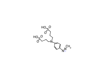 C/N=N\c1ccc(N(CCCS(=O)(=O)O)CCCS(=O)(=O)O)cc1